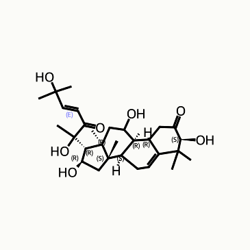 CC(C)(O)/C=C/C(=O)C(C)(O)[C@H]1[C@H](O)C[C@@]2(C)[C@@H]3CC=C4[C@@H](CC(=O)[C@@H](O)C4(C)C)[C@]3(C)C(O)C[C@]12C